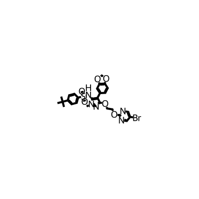 Cn1nc(OCCOc2ncc(Br)cn2)c(-c2ccc3c(c2)OCO3)c1NS(=O)(=O)c1ccc(C(C)(C)C)cc1